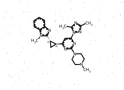 Cc1nc(C)n(-c2cc([C@H]3C[C@@H]3c3nc4ccccc4n3C)nc(N3CCN(C)CC3)n2)n1